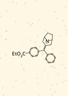 CCOC(=O)c1ccc(C(=C2CC3CCC(C2)N3C)c2ccccc2)cc1